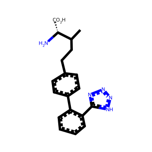 CC(CCc1ccc(-c2ccccc2-c2nnn[nH]2)cc1)[C@H](N)C(=O)O